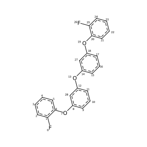 Fc1ccccc1Oc1cccc(Oc2cccc(Oc3ccccc3F)c2)c1